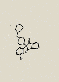 O=C1c2ccccc2C(=O)C1(c1cccc(Br)n1)N1CCN(CC2CCCCC2)CC1